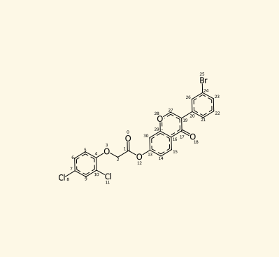 O=C(COc1ccc(Cl)cc1Cl)Oc1ccc2c(=O)c(-c3cccc(Br)c3)coc2c1